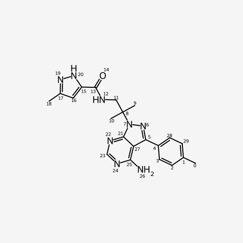 Cc1ccc(-c2nn(C(C)(C)CNC(=O)c3cc(C)n[nH]3)c3ncnc(N)c23)cc1